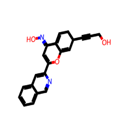 OCC#CC1C=c2oc(-c3cc4ccccc4cn3)c/c(=N\O)c2=CC1